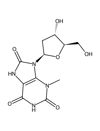 Cn1c(=O)[nH]c(=O)c2[nH]c(=O)n([C@H]3C[C@H](O)[C@@H](CO)O3)c21